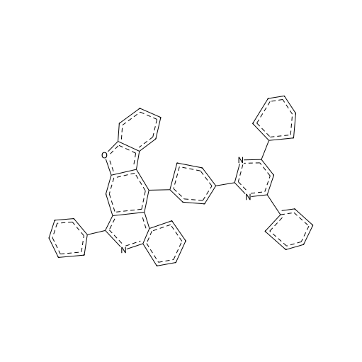 c1ccc(-c2cc(-c3ccccc3)nc(-c3ccc(-c4c5c(cc6c(-c7ccccc7)nc7ccccc7c46)oc4ccccc45)cc3)n2)cc1